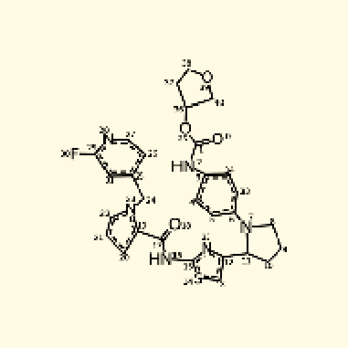 O=C(Nc1ccc(N2CCCC2c2csc(NC(=O)c3cccn3Cc3ccnc(F)c3)n2)cc1)OC1CCOC1